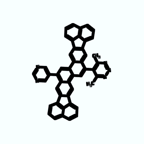 Cc1nnnc(C)c1-c1cc2c3cc4c(cc3c(-c3cncnc3)cc2c2cc3c(cc12)-c1cccc2cccc-3c12)-c1cccc2cccc-4c12